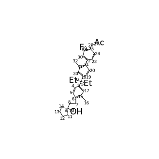 CCC(CC)(c1ccc(CCC2(O)CCCC2)c(C)c1)c1ccc(-c2ccc(CC(C)=O)c(F)c2)c(C)c1